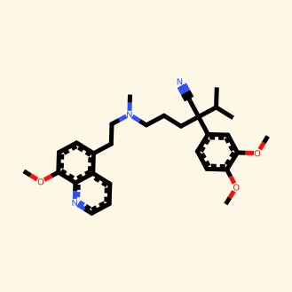 COc1ccc(C(C#N)(CCCN(C)CCc2ccc(OC)c3ncccc23)C(C)C)cc1OC